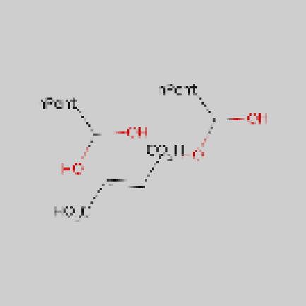 CCCCCC(O)O.CCCCCC(O)O.O=C(O)/C=C/C(=O)O